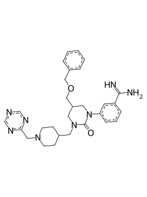 N=C(N)c1cccc(N2CC(COCc3ccccc3)CN(CC3CCN(Cc4ncncn4)CC3)C2=O)c1